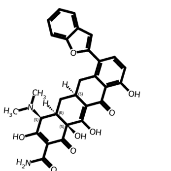 CN(C)[C@@H]1C(O)=C(C(N)=O)C(=O)[C@@]2(O)C(O)=C3C(=O)c4c(O)ccc(-c5cc6ccccc6o5)c4C[C@@H]3C[C@H]12